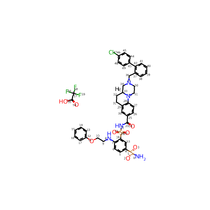 NS(=O)(=O)c1ccc(NCCOc2ccccc2)c(S(=O)(=O)NC(=O)c2ccc3c(c2)CC[C@H]2CN(Cc4ccccc4-c4ccc(Cl)cc4)CCN32)c1.O=C(O)C(F)(F)F